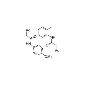 CC(=O)CC(=O)Nc1ccccc1C.COc1ccc(NC(=O)CC(C)=O)cc1